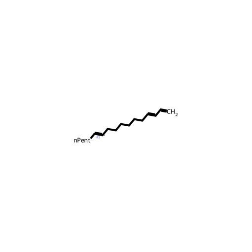 C=CC=CCCCCCC/[C]=C/CCCCC